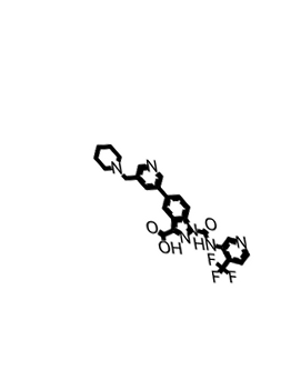 O=C(O)c1nn(C(=O)Nc2cnccc2C(F)(F)F)c2ccc(-c3cncc(CN4CCCCC4)c3)cc12